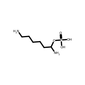 NCCCCCC(N)OP(=O)(O)O